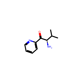 CC(C)[C@@H](N)C(=O)c1ccccn1